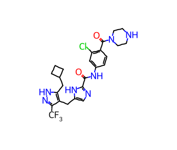 O=C(Nc1ccc(C(=O)N2CCNCC2)c(Cl)c1)c1ncc(Cc2c(C(F)(F)F)n[nH]c2CC2CCC2)[nH]1